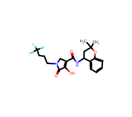 CC1(C)CC(NC(=O)C2=C(O)C(=O)N(CCCC(F)(F)F)C2)c2ccccc2O1